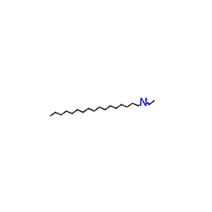 CC=NCCCCCCCCCCCCCCCCC